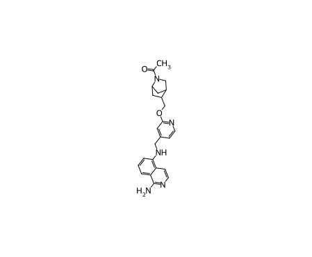 CC(=O)N1CC2CC1CC2COc1cc(CNc2cccc3c(N)nccc23)ccn1